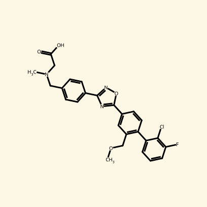 COCc1cc(-c2nc(-c3ccc(CN(C)CC(=O)O)cc3)no2)ccc1-c1cccc(F)c1Cl